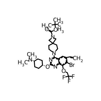 C=Cc1cc2c(N3CCC4(CC3)CN(C(=O)OC(C)(C)C)C4)nc(O[C@H]3CC[C@@H](N(C)C)CC3)nc2c(OCC(F)(F)F)c1Br